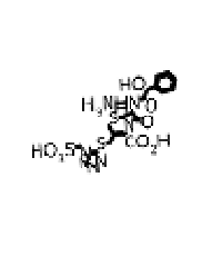 N.O=C(O)C1=C(CSc2nnnn2CS(=O)(=O)O)CS[C@@H]2[C@H](NC(=O)C(O)c3ccccc3)C(=O)N12